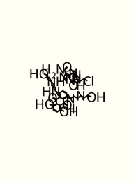 NC(=O)c1ncn2c(=O)n(CCCl)nnc12.O=C1c2c(O)ccc(O)c2C(=O)c2c(NCCNCCO)ccc(NCCNCCO)c21